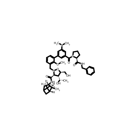 COc1c(CN2O[C@@H](CO)[C@H]([C@H](C)O)[C@H]2C(=O)N[C@H]2CC3C[C@@H]([C@@H]2C)C3(C)C)cccc1-c1cc(C(=O)N2CCC[C@H]2C(=O)NCc2ccccc2)cc(N(C)C)c1